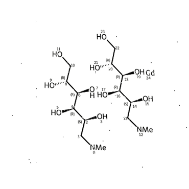 CNC[C@H](O)[C@@H](O)[C@H](O)[C@H](O)CO.CNC[C@H](O)[C@@H](O)[C@H](O)[C@H](O)CO.[Gd]